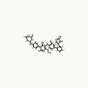 CCCc1nc(C)n(-c2ccc(OC3CC(C)OC(C)C3)cc2)c(=O)c1Cc1ccc(-c2ccccc2-c2noc(=O)[nH]2)cc1F